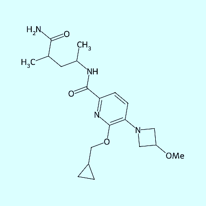 COC1CN(c2ccc(C(=O)NC(C)CC(C)C(N)=O)nc2OCC2CC2)C1